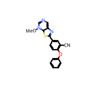 CON1C=NC=C2N=C(c3ccc(Oc4ccccc4)c(C#N)c3)SC21